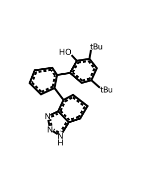 CC(C)(C)c1cc(-c2ccccc2-c2cccc3[nH]nnc23)c(O)c(C(C)(C)C)c1